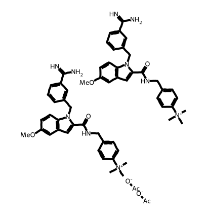 CC(=O)[O-].CC(=O)[O-].COc1ccc2c(c1)cc(C(=O)NCc1ccc([N+](C)(C)C)cc1)n2Cc1cccc(C(=N)N)c1.COc1ccc2c(c1)cc(C(=O)NCc1ccc([N+](C)(C)C)cc1)n2Cc1cccc(C(=N)N)c1